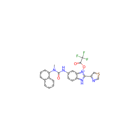 CN(C(=O)Nc1ccc2[nH]c(-c3cscn3)[n+](OC(=O)C(F)(F)F)c2c1)c1cccc2ccccc12